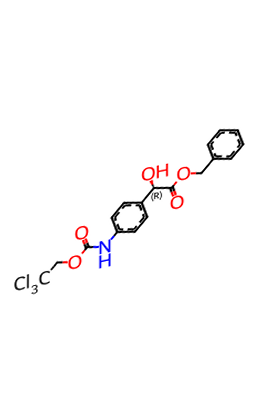 O=C(Nc1ccc([C@@H](O)C(=O)OCc2ccccc2)cc1)OCC(Cl)(Cl)Cl